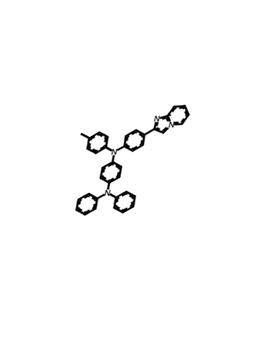 Cc1ccc(N(c2ccc(-c3cn4ccccc4n3)cc2)c2ccc(N(c3ccccc3)c3ccccc3)cc2)cc1